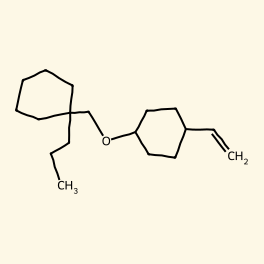 C=CC1CCC(OCC2(CCC)CCCCC2)CC1